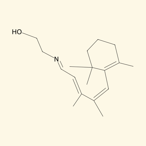 CC(=CC=NCCO)C(C)=CC1=C(C)CCCC1(C)C